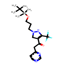 CC(C)(C)[Si](C)(C)OCCCN1CC(C(=O)Cc2ccncn2)=C(C(F)(F)F)N1